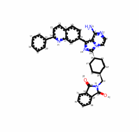 Nc1nccn2c1c(-c1ccc3ccc(-c4ccccc4)nc3c1)nc2[C@H]1CC[C@H](CN2C(=O)c3ccccc3C2=O)CC1